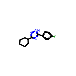 Fc1ccc(-c2nc(C3CCCCC3)n[nH]2)cc1